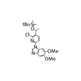 COc1cc2ncn(-c3ccc(C(C)O[Si](C)(C)C(C)(C)C)c(Cl)n3)c2cc1OC